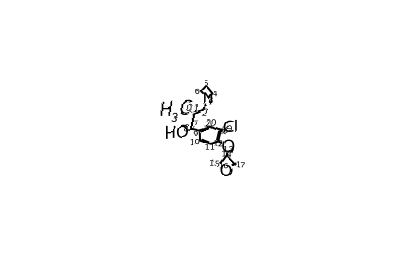 C[C@H](CN1CCC1)[C@H](O)c1ccc(OC2COC2)c(Cl)c1